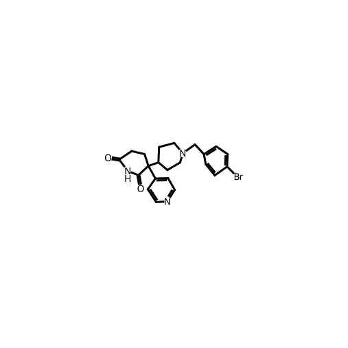 O=C1CCC(c2ccncc2)(C2CCN(Cc3ccc(Br)cc3)CC2)C(=O)N1